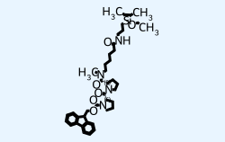 CCO[Si]1(CCCNC(=O)CCCCCN(C)C(=O)[C@@H]2CCCN2C(=O)[C@@H]2CCCN2C(=O)OCC2c3ccccc3-c3ccccc32)C(C)C1C